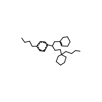 CCCCc1ccc(C(CCC2(CCCC)CCCCC2)CC2=CCCCC2)cc1